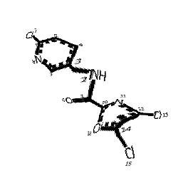 O=C(Nc1ccc(Cl)nc1)c1nc(Cl)c(Cl)o1